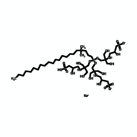 CCCCCCCCCCCCCCCCCC[N+](C)(C)CCC[Si](OCC(CO)(CO)NCC(O)CS(=O)(=O)[O-])(OCC(CO)(CO)NCC(O)CS(=O)(=O)[O-])OCC(CO)(CO)NCC(O)CS(=O)(=O)O.[Na+]